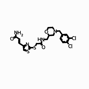 NC(=O)C=Cc1csc(SCC(=O)NCC2CN(Cc3ccc(Cl)c(Cl)c3)CCO2)n1